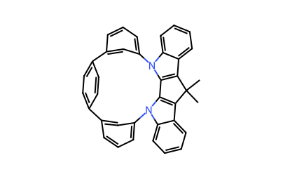 CC1(C)c2c3ccccc3n3c4cccc(c4)c4ccc(cc4)c4cccc(c4)n4c5ccccc5c1c4c23